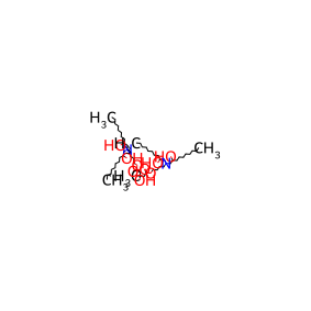 CCCCCCCCC(O)CN(CCCCOC(=O)CC(C)(O)CC(=O)OCCCCN(CC(O)CCCCCCCC)CC(O)CCCCCCCC)CC(O)CCCCCCCC